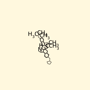 CC(C)(C)Cc1ccc2c(CC(C)(C)C)c3c(cc2c1)-c1nccc2c1c(cc1cc(CC4CCCC4)ccc12)S3